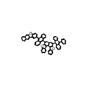 c1ccc(-c2c3ccccc3c(-c3cc4cc(-c5c6ccccc6c(-c6ccc7oc8cc9ccccc9cc8c7c6)c6ccccc56)c5oc6ccccc6c5c4c4c3oc3ccccc34)c3ccccc23)cc1